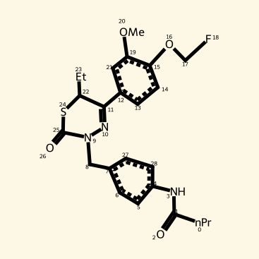 CCCC(=O)Nc1ccc(CN2N=C(c3ccc(OCF)c(OC)c3)C(CC)SC2=O)cc1